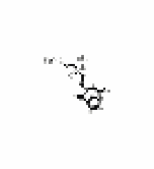 CCOC(=O)CCP(=O)(CCN1CC(C)C2C=CC(C2)C1=O)OCC